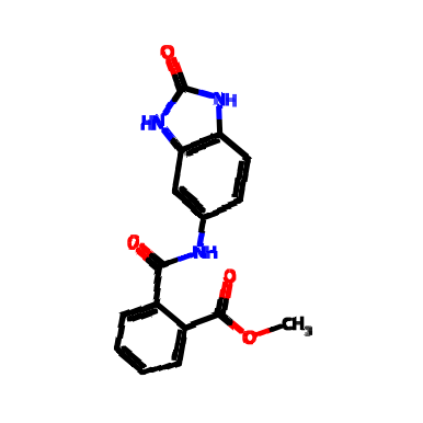 COC(=O)c1ccccc1C(=O)Nc1ccc2[nH]c(=O)[nH]c2c1